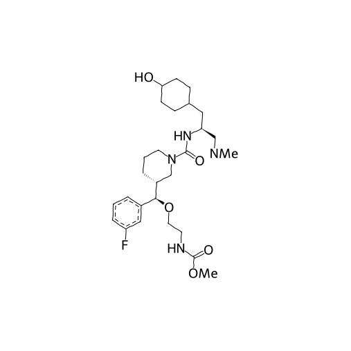 CNC[C@H](CC1CCC(O)CC1)NC(=O)N1CCC[C@@H]([C@@H](OCCNC(=O)OC)c2cccc(F)c2)C1